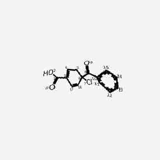 O=C(O)C1=CCC(Cl)(C(=O)c2ccccc2)C=C1